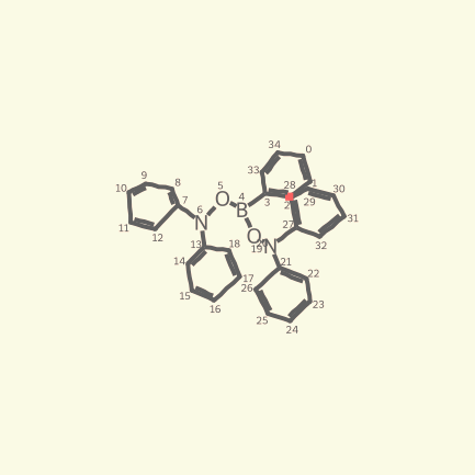 c1ccc(B(ON(c2ccccc2)c2ccccc2)ON(c2ccccc2)c2ccccc2)cc1